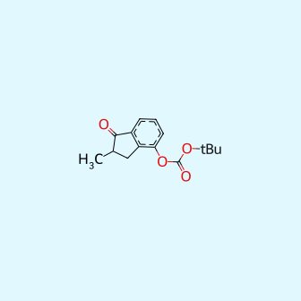 CC1Cc2c(OC(=O)OC(C)(C)C)cccc2C1=O